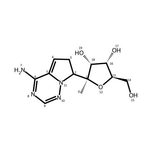 C[C@@]1(C2CC=C3C(N)=NC=NN32)O[C@H](CO)[C@@H](O)[C@H]1O